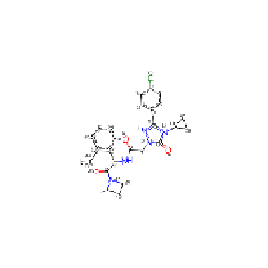 O=C(Cn1nc(-c2ccc(Cl)cc2)n(C2CC2)c1=O)NC(C(=O)N1CCC1)c1ccccc1C(F)(F)F